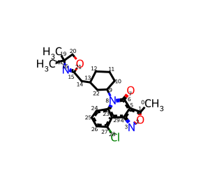 Cc1onc2c1c(=O)n(C1CCCC(CC3=NC(C)(C)CO3)C1)c1cccc(Cl)c21